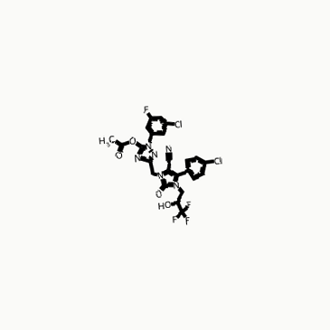 CC(=O)Oc1nc(Cn2c(C#N)c(-c3ccc(Cl)cc3)n(CC(O)C(F)(F)F)c2=O)nn1-c1cc(F)cc(Cl)c1